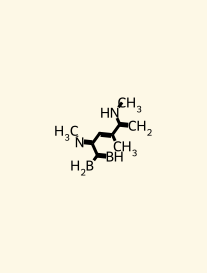 B=C(B)C(/C=C(\C)C(=C)NC)=N/C